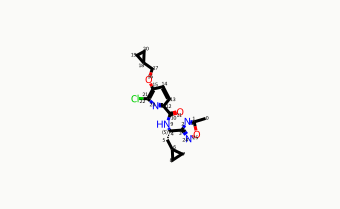 Cc1nc([C@H](CC2CC2)NC(=O)c2ccc(OCC3CC3)c(Cl)n2)no1